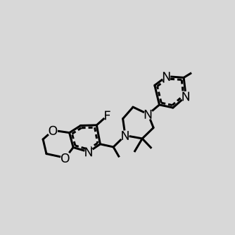 Cc1ncc(N2CCN(C(C)c3nc4c(cc3F)OCCO4)C(C)(C)C2)cn1